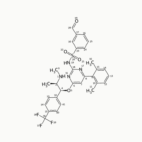 CN[C@H](C)[C@@H](Oc1cc(-c2c(C)cccc2C)nc(NS(=O)(=O)c2cccc(C=O)c2)n1)c1ccc(C(F)(F)F)cc1